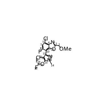 COCc1nc2c(Cl)cc(F)c(-c3nn(C)c(OC(F)F)c3Cl)c2o1